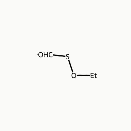 CCOS[C]=O